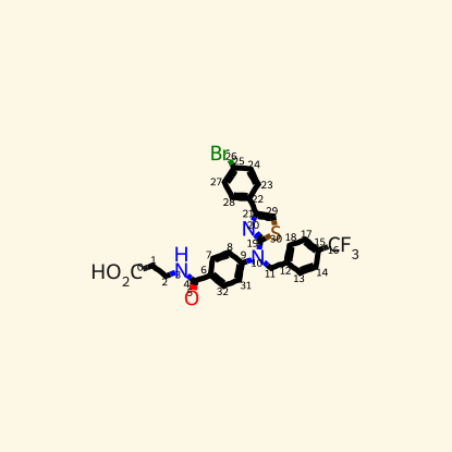 O=C(O)CCNC(=O)c1ccc(N(Cc2ccc(C(F)(F)F)cc2)c2nc(-c3ccc(Br)cc3)cs2)cc1